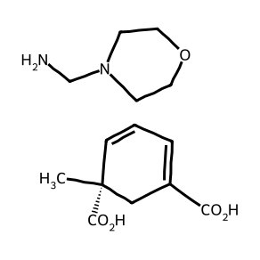 C[C@@]1(C(=O)O)C=CC=C(C(=O)O)C1.NCN1CCOCC1